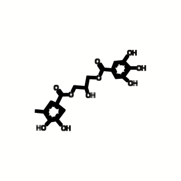 Cc1cc(C(=O)OCC(O)COC(=O)c2cc(O)c(O)c(O)c2)cc(O)c1O